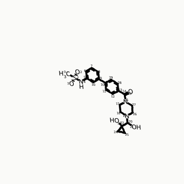 CS(=O)(=O)Nc1cccc(-c2ccc(C(=O)N3CCN(C(O)C4(O)CC4)CC3)cc2)c1